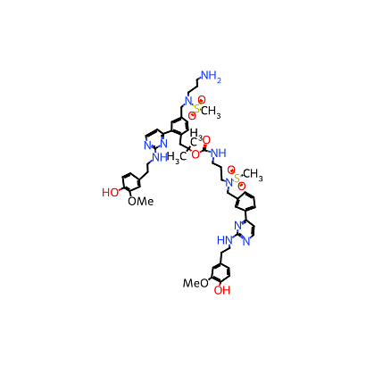 COc1cc(CCNc2nccc(-c3cccc(CN(CCCNC(=O)OC(C)(C)Cc4ccc(CN(CCCN)S(C)(=O)=O)cc4-c4ccnc(NCCc5ccc(O)c(OC)c5)n4)S(C)(=O)=O)c3)n2)ccc1O